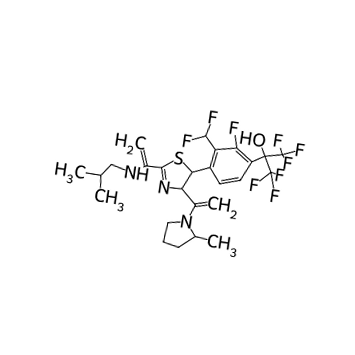 C=C(NCC(C)C)C1=NC(C(=C)N2CCCC2C)C(c2ccc(C(O)(C(F)(F)F)C(F)(F)F)c(F)c2C(F)F)S1